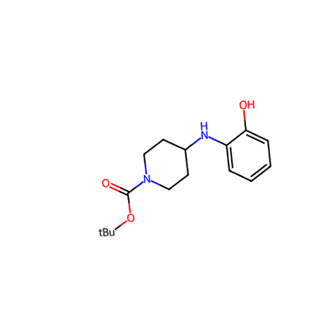 CC(C)(C)OC(=O)N1CCC(Nc2ccccc2O)CC1